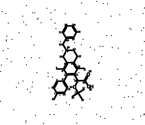 Cc1ccc(-c2c(C)c3c(c(C)c2C(OC(C)(C)C)C(=O)O)CCN(Cc2ccccc2)C3)cc1